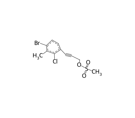 Cc1c(Br)ccc(C#CCOS(C)(=O)=O)c1Cl